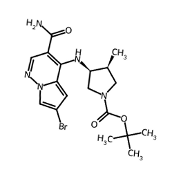 C[C@H]1CN(C(=O)OC(C)(C)C)C[C@H]1Nc1c(C(N)=O)cnn2cc(Br)cc12